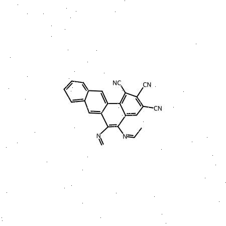 C=Nc1c(/N=C\C)c2cc(C#N)c(C#N)c(C#N)c2c2cc3ccccc3cc12